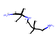 CC(C)(CN)CNC(C)(C)CN